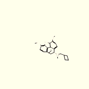 CC[C@]12C3=CC=C(OC)C1Oc1c(OC)ccc(c12)C[C@@H]3N(C)CC1CCC1